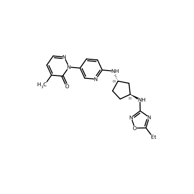 CCc1nc(N[C@H]2CC[C@H](Nc3ccc(-n4nccc(C)c4=O)cn3)C2)no1